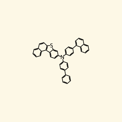 c1ccc(-c2ccc(N(c3ccc(-c4cccc5ccccc45)cc3)c3ccc4c(c3)sc3ccc5ccccc5c34)cc2)cc1